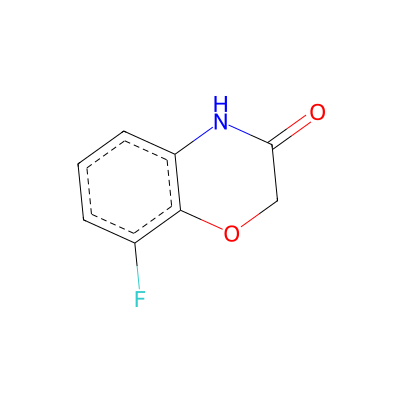 O=C1COc2c(F)cccc2N1